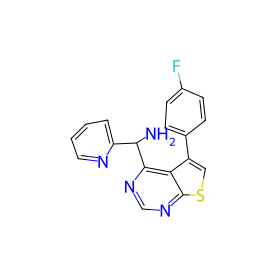 NC(c1ccccn1)c1ncnc2scc(-c3ccc(F)cc3)c12